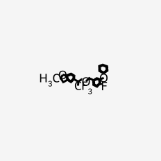 CC1Cc2cc(C(COCc3ccc(F)c(Oc4ccccc4)c3)C(F)(F)F)ccc2O1